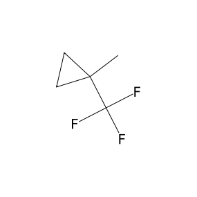 CC1(C(F)(F)F)CC1